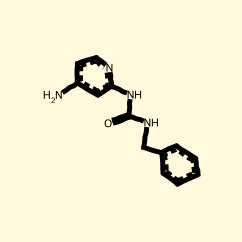 Nc1ccnc(NC(=O)NCc2ccccc2)c1